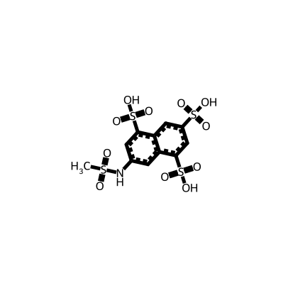 CS(=O)(=O)Nc1cc(S(=O)(=O)O)c2cc(S(=O)(=O)O)cc(S(=O)(=O)O)c2c1